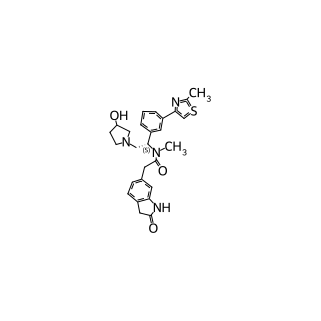 Cc1nc(-c2cccc([C@@H](CN3CCC(O)C3)N(C)C(=O)Cc3ccc4c(c3)NC(=O)C4)c2)cs1